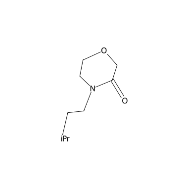 CC(C)CCN1CCOCC1=O